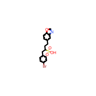 O=S(=O)(O)C(CCc1ccc2o[c]nc2c1)Cc1ccc(Br)cc1